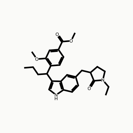 CCCC(c1ccc(C(=O)OC)cc1OC)c1c[nH]c2ccc(CC3CCN(CC)C3=O)cc12